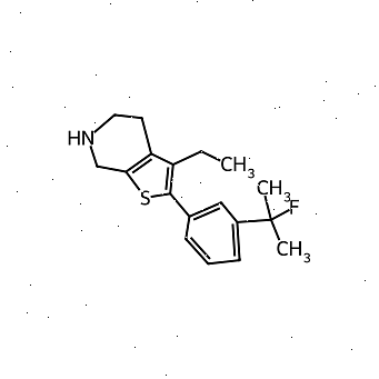 CCc1c(-c2cccc(C(C)(C)F)c2)sc2c1CCNC2